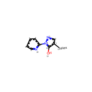 CCCCCCc1cnn(-c2ccccn2)c1O